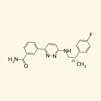 C[C@H](CNc1ccc(-c2cccc(C(N)=O)c2)nn1)c1ccc(F)cc1